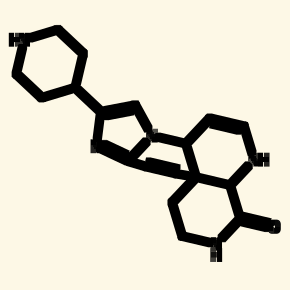 O=C1NCCC23C=Cc4nc(C5CCNCC5)cn4C2C=CNC13